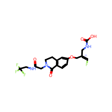 O=C(O)NC/C(=C/F)COc1ccc2c(c1)CCN(CC(=O)NCC(F)(F)F)C2=O